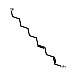 CCCCC=CCC=CCCCCCCO